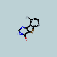 Cc1cccc2sc3c(=O)[nH]cnc3c12